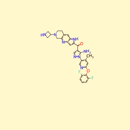 Cc1cc(Oc2c(F)cccc2F)ncc1-n1ncc(C(=O)c2cc3nc4c(cc3[nH]2)CCN(C2CNC2)C4)c1N